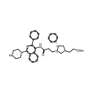 COCCN1C[C@@H](CCC(=O)Nc2c(-c3ccccc3)nc(N3CCNCC3)c3ccccc23)[C@H](c2ccccc2)C1